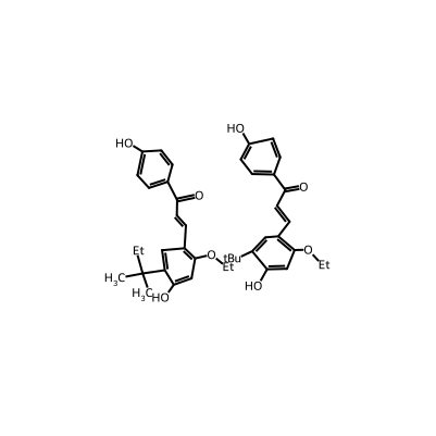 CCOc1cc(O)c(C(C)(C)C)cc1C=CC(=O)c1ccc(O)cc1.CCOc1cc(O)c(C(C)(C)CC)cc1C=CC(=O)c1ccc(O)cc1